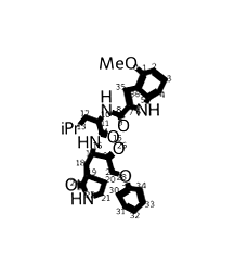 COc1cccc2[nH]c(C(=O)NC(CC(C)C)C(=O)NC(CC3CCNC3=O)C(=O)COc3ccccc3)cc12